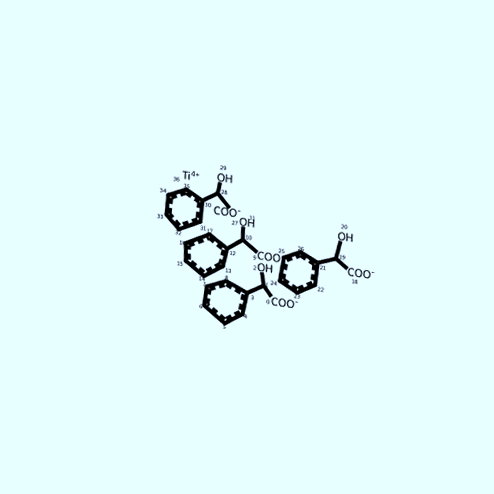 O=C([O-])C(O)c1ccccc1.O=C([O-])C(O)c1ccccc1.O=C([O-])C(O)c1ccccc1.O=C([O-])C(O)c1ccccc1.[Ti+4]